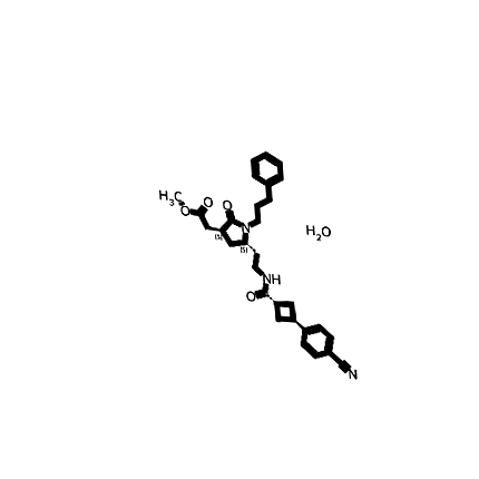 COC(=O)C[C@@H]1C[C@@H](CCNC(=O)[C@H]2C[C@H](c3ccc(C#N)cc3)C2)N(CCCc2ccccc2)C1=O.O